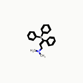 CN(C)C/C=C(/B(c1ccccc1)c1ccccc1)c1ccccc1